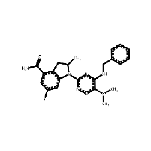 CC1Cc2c(C(N)=O)cc(F)cc2N1c1nnc(N(C)C)c(NCc2ccccc2)n1